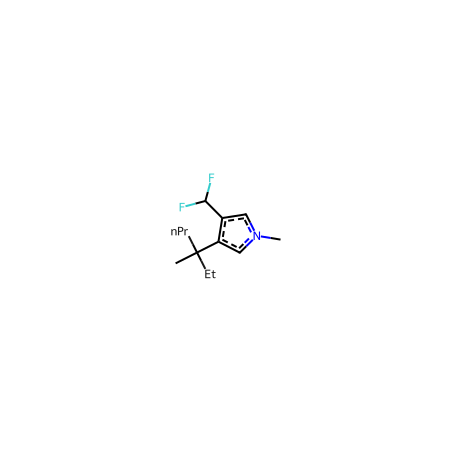 CCCC(C)(CC)c1cn(C)cc1C(F)F